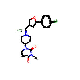 CN1C(=O)CCN(C2CCN(CC3COC(c4ccc(F)cc4)C3)CC2)C1=O.Cl